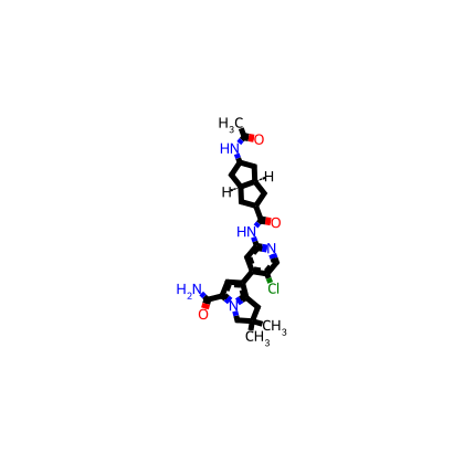 CC(=O)NC1C[C@@H]2CC(C(=O)Nc3cc(-c4cc(C(N)=O)n5c4CC(C)(C)C5)c(Cl)cn3)C[C@@H]2C1